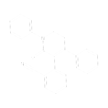 N#Cc1ccccc1C1=C(c2ccccc2)CCN(c2ccccc2)C1=O